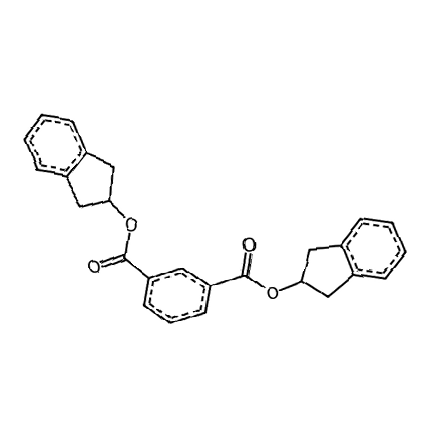 O=C(OC1Cc2ccccc2C1)c1cccc(C(=O)OC2Cc3ccccc3C2)c1